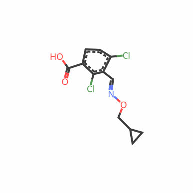 O=C(O)c1ccc(Cl)c(C=NOCC2CC2)c1Cl